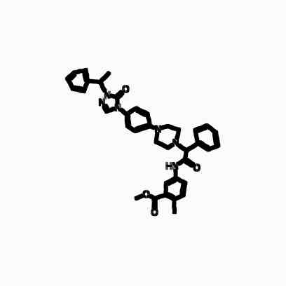 COC(=O)c1cc(NC(=O)C(c2ccccc2)N2CCN(c3ccc(-n4cnn(C(C)c5ccccc5)c4=O)cc3)CC2)ccc1C